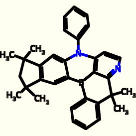 CC1(C)CC(C)(C)c2cc3c(cc21)B1c2ccccc2C(C)(C)c2nccc(c21)N3c1ccccc1